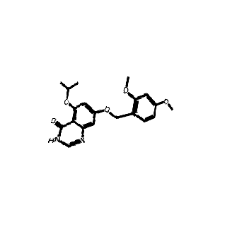 COc1ccc(COc2cc(OC(C)C)c3c(=O)[nH]cnc3c2)c(OC)c1